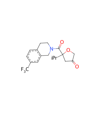 CC(C)C1(C(=O)N2CCc3ccc(C(F)(F)F)cc3C2)CC(=O)CO1